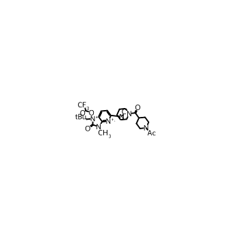 CC(=O)N1CCC(C(=O)N2CC3CCC2CN3C2=CC=C3C(=[N+]2)N(C)C(=O)[N+]3(CC(C)(C)C)OC(=O)C(F)(F)F)CC1